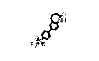 O=C1CCCc2cc(-c3ccc(S(=O)(=O)C(F)(F)F)cc3)ccc2N1